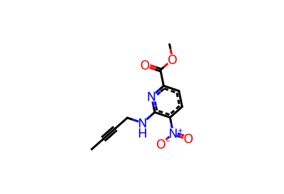 CC#CCNc1nc(C(=O)OC)ccc1[N+](=O)[O-]